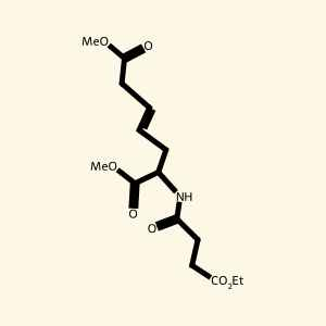 CCOC(=O)CCC(=O)NC(CC=CCC(=O)OC)C(=O)OC